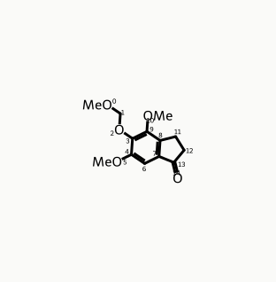 COCOc1c(OC)cc2c(c1OC)CCC2=O